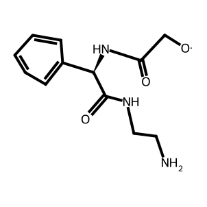 NCCNC(=O)[C@H](NC(=O)C[O])c1ccccc1